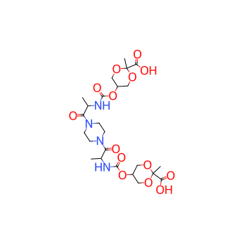 CC(NC(=O)OC1COC(C)(C(=O)O)OC1)C(=O)N1CCN(C(=O)C(C)NC(=O)OC2COC(C)(C(=O)O)OC2)CC1